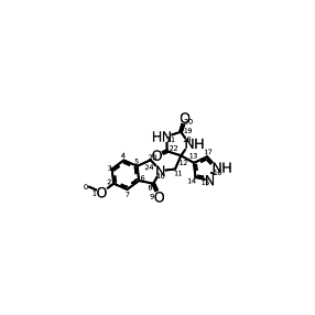 COc1ccc2c(c1)C(=O)N(CC1(c3cn[nH]c3)NC(=O)NC1=O)C2